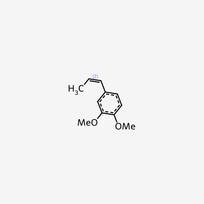 C/C=C\c1ccc(OC)c(OC)c1